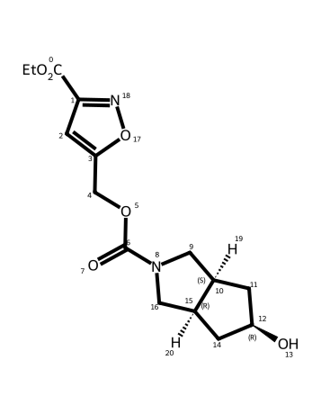 CCOC(=O)c1cc(COC(=O)N2C[C@H]3C[C@@H](O)C[C@H]3C2)on1